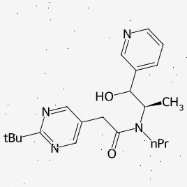 CCCN(C(=O)Cc1cnc(C(C)(C)C)nc1)[C@H](C)C(O)c1cccnc1